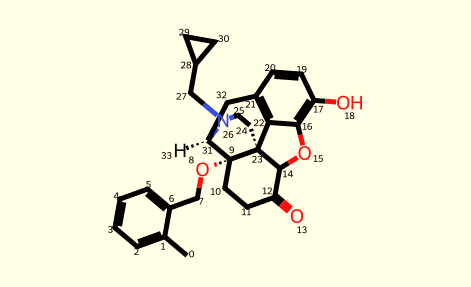 Cc1ccccc1CO[C@@]12CCC(=O)C3Oc4c(O)ccc5c4[C@@]31CCN(CC1CC1)[C@@H]2C5